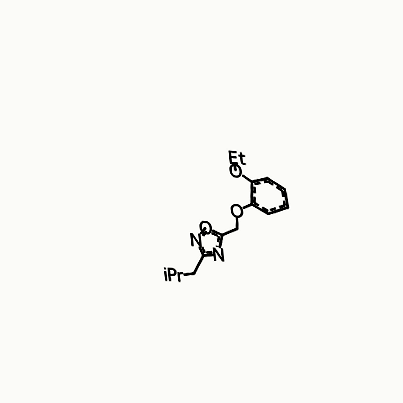 CCOc1ccccc1OCc1nc(CC(C)C)no1